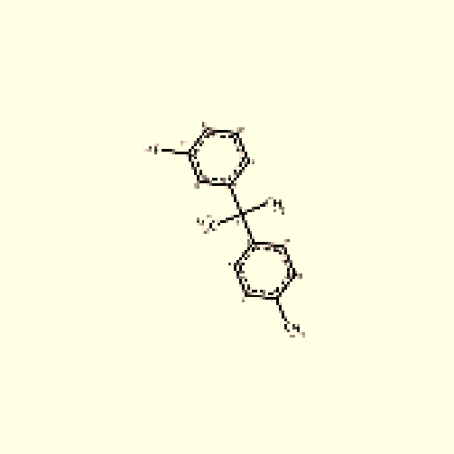 Cc1ccc(C(C)(C)c2cccc(F)c2)cc1